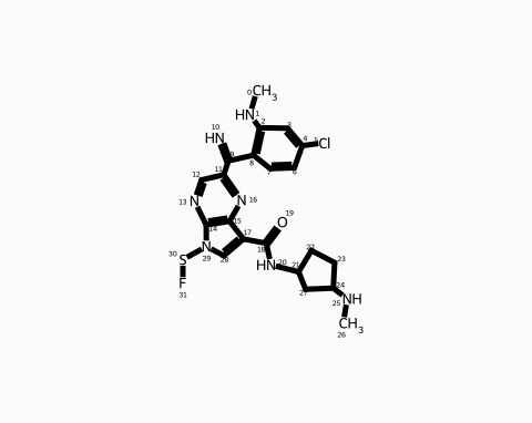 CNc1cc(Cl)ccc1C(=N)c1cnc2c(n1)c(C(=O)NC1CCC(NC)C1)cn2SF